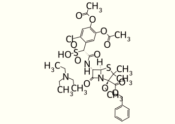 CCN(CC)CC.CO[C@@]1(C(=O)OCc2ccccc2)N2C(=O)[C@H](NC(=O)[C@@H](c3cc(OC(C)=O)c(OC(C)=O)cc3Cl)S(=O)(=O)O)[C@H]2SC1(C)C